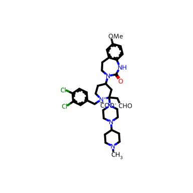 COc1ccc2c(c1)CCN(C1CC[N@+](Cc3ccc(Cl)c(Cl)c3)(C(=O)[O-])C(CC=O)(N3CCN(C4CCN(C)CC4)CC3)C1)C(=O)N2